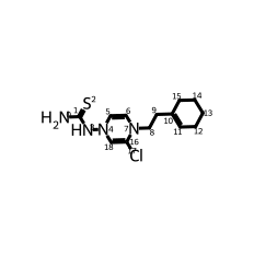 NC(=S)NN1C=CN(CCC2=CCCCC2)C(Cl)=C1